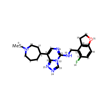 CSN1CCCC(c2cnc(NCc3c(F)ccc4c3CCO4)n3cnnc23)CC1